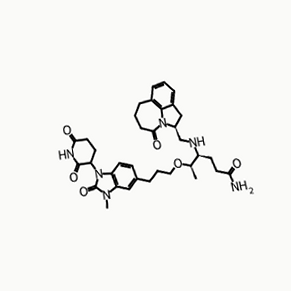 C[C@@H](OCCCc1ccc2c(c1)n(C)c(=O)n2C1CCC(=O)NC1=O)[C@H](CCC(N)=O)NC[C@@H]1Cc2cccc3c2N1C(=O)CCC3